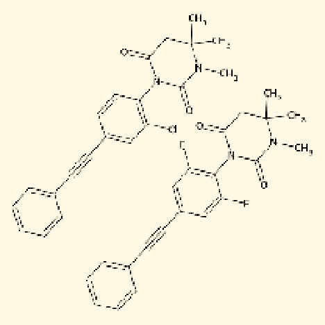 CN1C(=O)N(c2c(F)cc(C#Cc3ccccc3)cc2F)C(=O)CC1(C)C.CN1C(=O)N(c2ccc(C#Cc3ccccc3)cc2Cl)C(=O)CC1(C)C